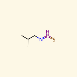 CC(C)CN=[PH]=S